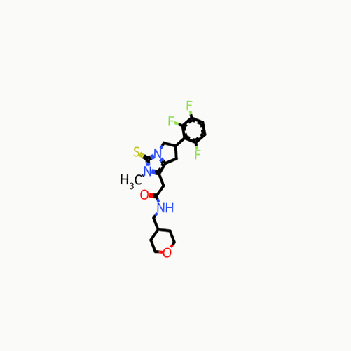 Cn1c(CC(=O)NCC2CCOCC2)c2n(c1=S)CC(c1c(F)ccc(F)c1F)C2